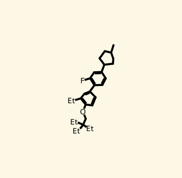 CCc1cc(-c2ccc(C3CCC(C)CC3)cc2F)ccc1OCC(CC)(CC)CC